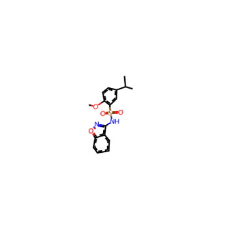 COc1ccc(C(C)C)cc1S(=O)(=O)Nc1noc2ccccc12